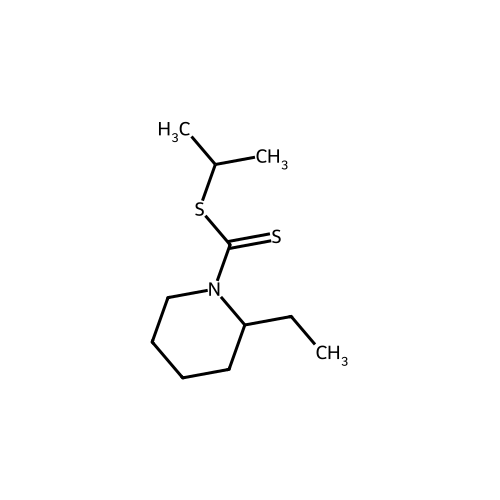 CCC1CCCCN1C(=S)SC(C)C